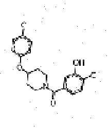 O=C(c1ccc(Cl)c(O)c1)N1CCC(Oc2ccc(Cl)cc2)CC1